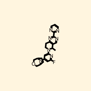 CC1c2cnc(-c3ncccn3)nc2CCN1c1cc(N2C3CCC2COC3)cc(F)n1